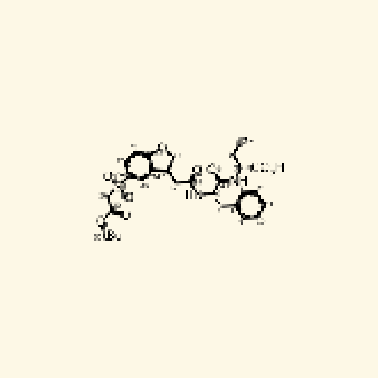 CC(C)C[C@H](NC(=O)[C@H](Cc1ccccc1)NC(=O)CC1COc2ccc(S(=O)(=O)CC(=O)OC(C)(C)C)cc21)C(=O)O